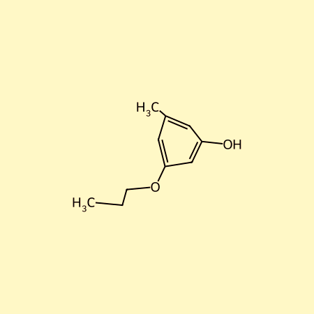 CCCOc1cc(C)cc(O)c1